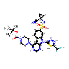 CC(C)(C)OC(=O)N1CCN(c2ncnc3c2c2ccc(S(=O)(=O)NC4(C#N)CC4)cc2n3-c2nnc(C(F)F)s2)CC1